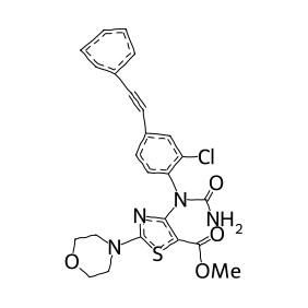 COC(=O)c1sc(N2CCOCC2)nc1N(C(N)=O)c1ccc(C#Cc2ccccc2)cc1Cl